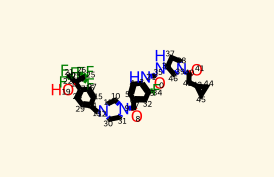 O=C(Nc1ccc(C(=O)N2CCN(Cc3ccc(C(O)(C(F)(F)F)C(F)(F)F)cc3)CC2)cc1F)NC1CCN(C(=O)CC2CC2)C1